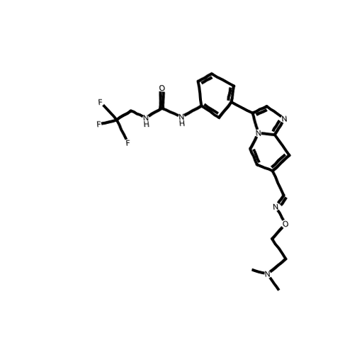 CN(C)CCON=Cc1ccn2c(-c3cccc(NC(=O)NCC(F)(F)F)c3)cnc2c1